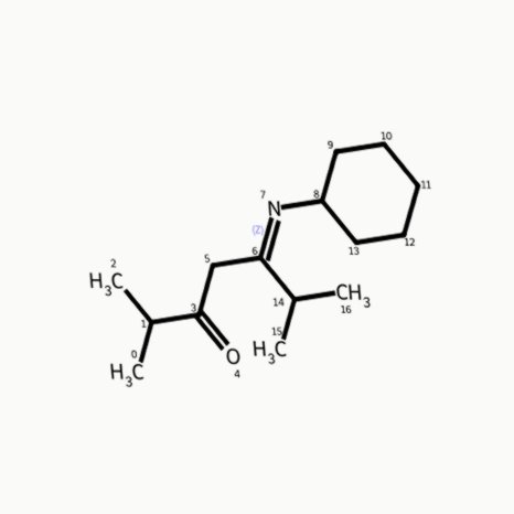 CC(C)C(=O)C/C(=N/C1CCCCC1)C(C)C